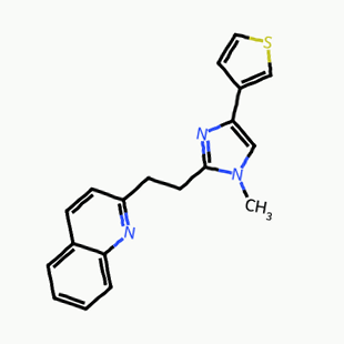 Cn1cc(-c2ccsc2)nc1CCc1ccc2ccccc2n1